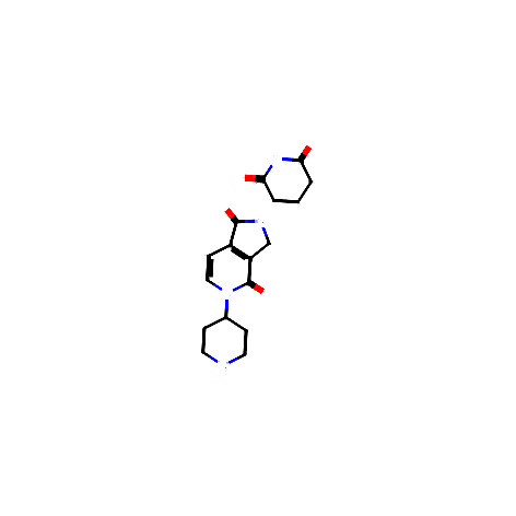 O=C1CC[C@H](N2Cc3c(ccn(C4CCNCC4)c3=O)C2=O)C(=O)N1